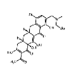 CCc1cc(CN(C)CC(C)CC)c(O)c2c1C[C@H]1C[C@H]3CC(O)=C(C(N)=O)C(=O)[C@@]3(O)C(O)=C1C2=O